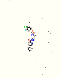 C=C(CCNC(=O)c1ccc(-c2ccccc2)cn1)NC(=O)COc1ccc(Cl)c(F)c1